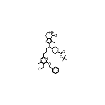 Cc1cc(CCC[C@@H](c2sc3c(c2C)C(=O)NCC3)C2CCN(C(=O)OC(C)(C)C)CC2)nc(OCc2ccccc2)c1CCl